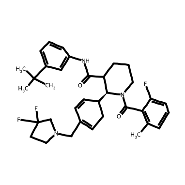 Cc1cccc(F)c1C(=O)N1CCCC(C(=O)Nc2cccc(C(C)(C)C)c2)[C@@H]1C1C=CC(CN2CCC(F)(F)C2)=CC1